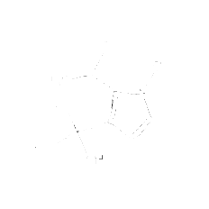 CC(C)c1c(C(C)(C)C)ccn1C